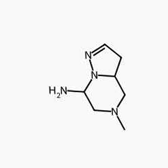 CN1CC(N)N2N=CCC2C1